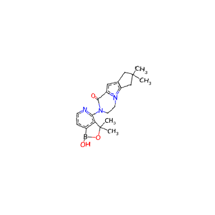 CC1(C)Cc2cc3n(c2C1)CCN(c1nccc2c1C(C)(C)OB2O)C3=O